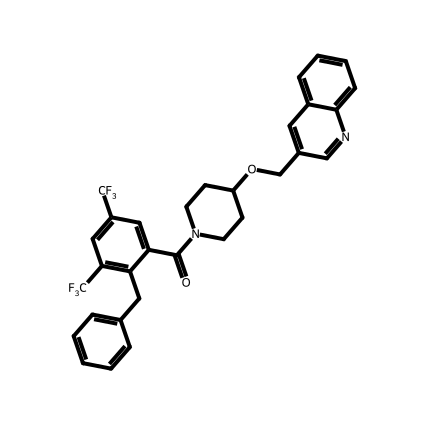 O=C(c1cc(C(F)(F)F)cc(C(F)(F)F)c1Cc1ccccc1)N1CCC(OCc2cnc3ccccc3c2)CC1